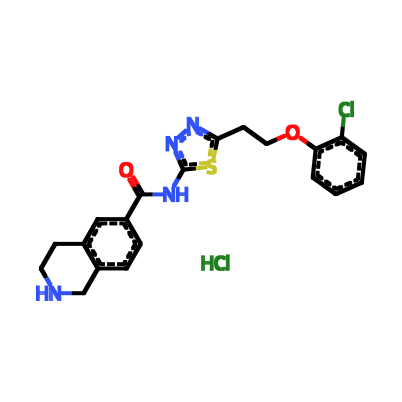 Cl.O=C(Nc1nnc(CCOc2ccccc2Cl)s1)c1ccc2c(c1)CCNC2